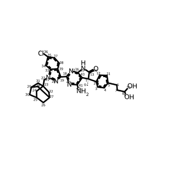 C[C@@]1(c2ccc(CCC(O)O)cc2)C(=O)Nc2nc(-c3nn(CC45CC6CC(CC(C6)C4)C5)c4cc(Cl)ccc34)nc(N)c21